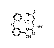 CC(C)C(C(=O)OC(C#N)c1cccc(Oc2ccccc2)c1)C(C#N)C=C(Cl)Cl